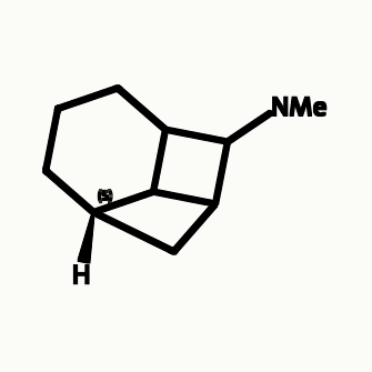 CNC1C2CCC[C@H]3CC1C23